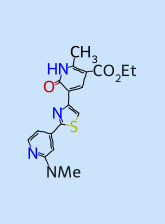 CCOC(=O)c1cc(-c2csc(-c3ccnc(NC)c3)n2)c(=O)[nH]c1C